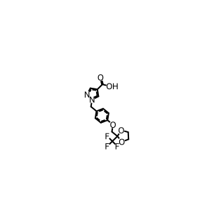 O=C(O)c1cnn(Cc2ccc(OCC3(C(F)(F)F)OCCO3)cc2)c1